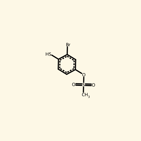 CS(=O)(=O)Oc1ccc(S)c(Br)c1